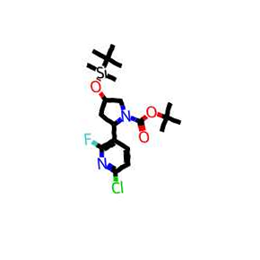 CC(C)(C)OC(=O)N1CC(O[Si](C)(C)C(C)(C)C)CC1c1ccc(Cl)nc1F